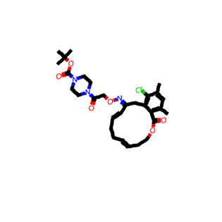 Cc1cc(C)c2c(c1Cl)CC(=N/OCC(=O)N1CCN(C(=O)OC(C)(C)C)CC1)/C=C/CC/C=C/CCOC2=O